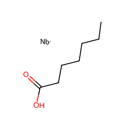 CCCCCCC(=O)O.[Nb]